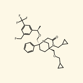 C[C@@H](OC[C@@]1(c2ccccc2)CC[C@]2(COCC3CC3)CN1CC(=O)N2CC1CC1)c1cc(CF)cc(C(F)(F)F)c1